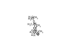 CCc1c(-c2ccc(NC(=O)C(NC(=O)c3cnnn3CC)C(C3CC3)C3CC3)nc2F)c(C)nn1COCCS(C)(C)C